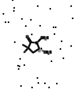 CC1(C)C[C@@H](C(=O)O)N(C(=O)O)C1=O